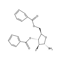 B[C@H]1O[C@H](COC(=O)c2ccccc2)[C@@H](OC(=O)c2ccccc2)[C@@H]1F